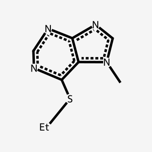 CCSc1ncnc2ncn(C)c12